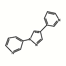 c1cncc(-c2cnn(-c3cccnc3)c2)c1